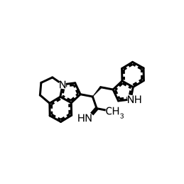 CC(=N)[C@H](Cc1c[nH]c2ccccc12)c1cn2c3c(cccc13)CCC2